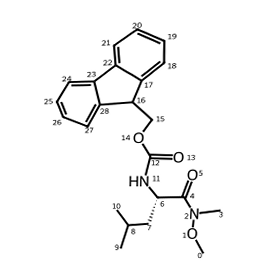 CON(C)C(=O)[C@H](CC(C)C)NC(=O)OCC1c2ccccc2-c2ccccc21